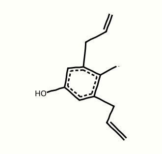 [CH2]c1c(CC=C)cc(O)cc1CC=C